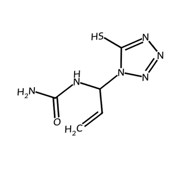 C=CC(NC(N)=O)n1nnnc1S